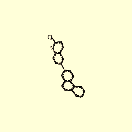 Clc1ccc2cc(-c3ccc4c(ccc5ccccc54)c3)ccc2n1